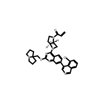 C=CC(=O)N1CC[C@H]2[C@H]1CN2c1nc(OCC23CCCN2CCC3)nc2cc(-c3cncc4cccc(Cl)c34)ccc12